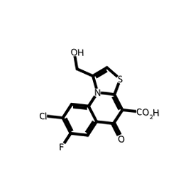 O=C(O)c1c(=O)c2cc(F)c(Cl)cc2n2c(CO)csc12